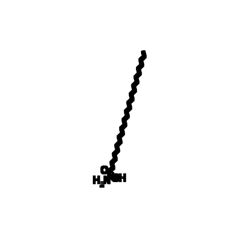 CCCCCCCCCCCCCCCCCCCCCCCCCCCCC(=O)N(N)O